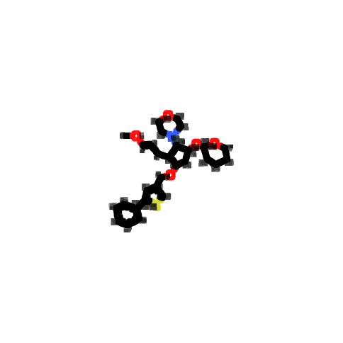 COC=CCC1C(OCc2csc(-c3ccccc3)c2)CC(OC2CCCCO2)C1N1CCOCC1